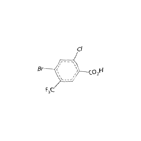 O=C(O)c1cc(C(F)(F)F)c(Br)cc1Cl